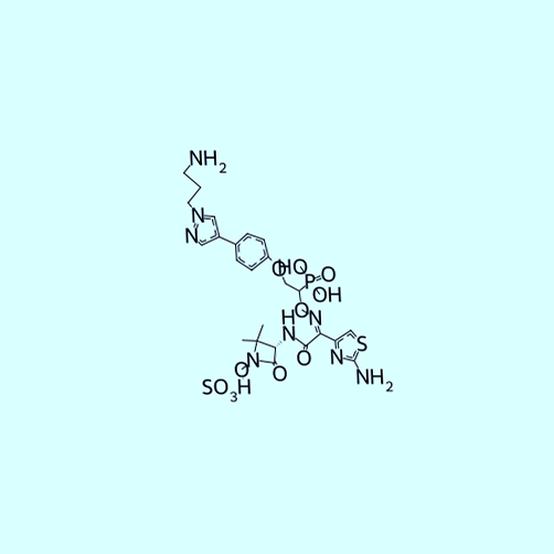 CC1(C)[C@H](NC(=O)/C(=N\OC(COc2ccc(-c3cnn(CCCN)c3)cc2)P(=O)(O)O)c2csc(N)n2)C(=O)N1OS(=O)(=O)O